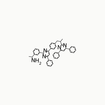 CC(N)c1cccc(-c2nc(-c3ccccc3)cc(-c3ccc(CC(C)c4nc(-c5ccccc5)cc(-c5ccccc5)n4)cc3)n2)c1